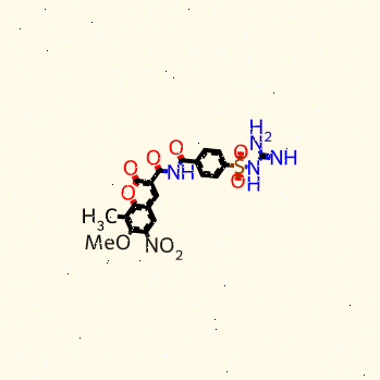 COc1c([N+](=O)[O-])cc2cc(C(=O)NC(=O)c3ccc(S(=O)(=O)NC(=N)N)cc3)c(=O)oc2c1C